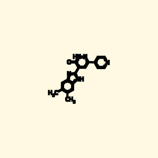 Cc1cc2nc(-c3cc(-c4ccncc4)n[nH]c3=O)[nH]c2cc1C